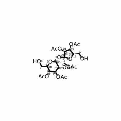 CC(=O)OC[C@@]1(O[C@H]2O[C@H](CO)[C@@H](OC(C)=O)[C@H](OC(C)=O)[C@H]2OC(C)=O)O[C@H](CO)[C@@H](OC(C)=O)[C@@H]1OC(C)=O